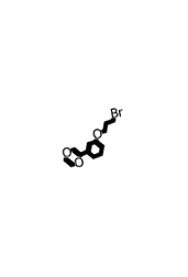 BrCCCOC1=CCCC(C2=COC=CO2)=C1